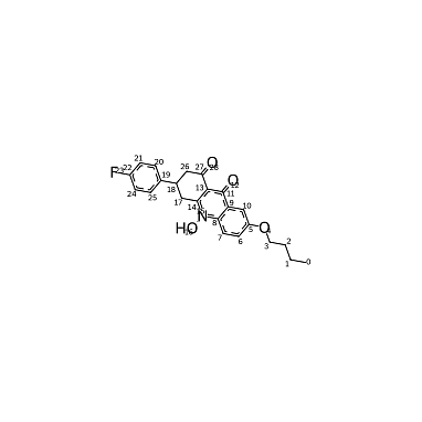 CCCCOc1ccc2c(c1)c(=O)c1c(n2O)CC(c2ccc(F)cc2)CC1=O